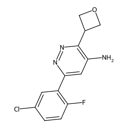 Nc1cc(-c2cc(Cl)ccc2F)nnc1C1COC1